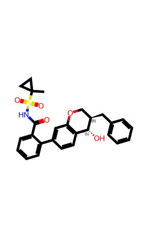 CC1(S(=O)(=O)NC(=O)c2ccccc2-c2ccc3c(c2)OC[C@@H](Cc2ccccc2)[C@@H]3O)CC1